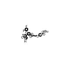 Cn1cc(-c2cc(S(=O)(=O)CCCCOC3CCN(C(=O)OC(C)(C)C)CC3)ccc2Oc2ccc(F)cc2F)c2cc[nH]c2c1=O